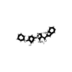 Nc1c(C(=O)c2cc3ccccc3[nH]2)cnn1-c1ccc(Oc2ccccc2)c(I)c1